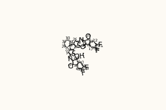 O=C1/C(=N/c2cc3c(s2)-c2sc(N=c4c(=O)c5cc(F)c(F)cc5c4=O)cc2C32CCCCC2)C(O)c2cc(F)c(F)cc21